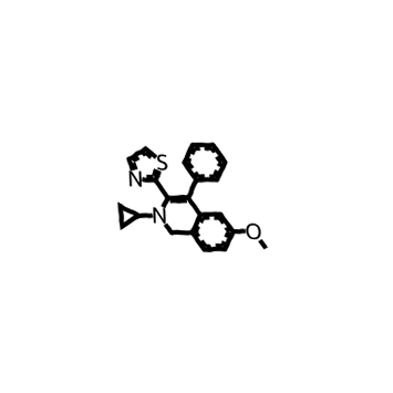 COc1ccc2c(c1)C(c1ccccc1)=C(c1nccs1)N(C1CC1)C2